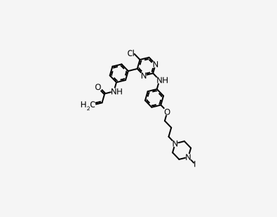 C=CC(=O)Nc1cccc(-c2nc(Nc3cccc(OCCCN4CCN(I)CC4)c3)ncc2Cl)c1